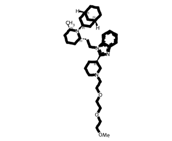 COCCOCCOCCN1CCC[C@@H](c2nc3ccccc3n2CC[C@@H]2CCC[C@H](C)N2[C@H]2C[C@@H]3CCC[C@@H](C3)C2)C1